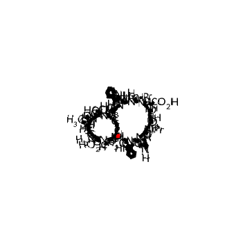 CC(C)C[C@@H]1NC(=O)[C@H](Cc2c[nH]cn2)NC(=O)[C@H](Cc2c[nH]c3ccccc23)NC(=O)[C@H](C)NC(=O)[C@@H]2CSSC[C@H](NC(=O)[C@H](Cc3c[nH]c4ccccc34)NC(=O)[C@H](C(C)C)NC(=O)[C@H](CC(C)C)NC(=O)[C@H](CCC(=O)O)NC(=O)CNC1=O)C(=O)NC([C@@H](C)O)C(=O)N[C@H](C(=O)[SH](C)S)CSSC[C@H](N)C(=O)N[C@@H](CC(=O)O)C(=O)N2